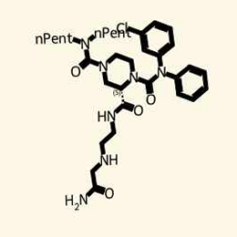 CCCCCN(CCCCC)C(=O)N1CCN(C(=O)N(c2ccccc2)c2cccc(Cl)c2)[C@H](C(=O)NCCNCC(N)=O)C1